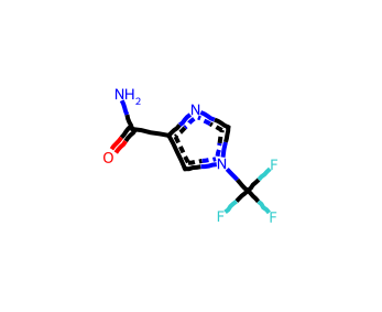 NC(=O)c1cn(C(F)(F)F)cn1